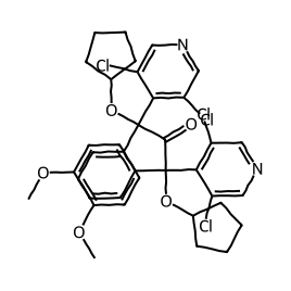 COc1ccc(C(OC2CCCC2)(C(=O)C(OC2CCCC2)(c2ccc(OC)cc2)c2c(Cl)cncc2Cl)c2c(Cl)cncc2Cl)cc1